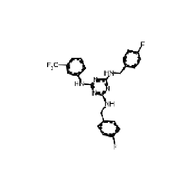 Fc1ccc(CNc2nc(NCc3ccc(F)cc3)nc(Nc3cccc(C(F)(F)F)c3)n2)cc1